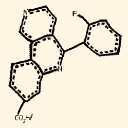 O=C(O)c1ccc2c(c1)nc(-c1ccccc1F)c1ccncc12